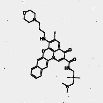 CN(C)CC(C)(C)CNC(=O)c1cn2c3c(c(NCCCN4CCOCC4)c(F)cc3c1=O)Oc1cc3ccccc3cc1-2